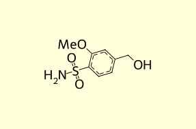 COc1cc(CO)ccc1S(N)(=O)=O